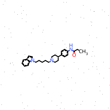 CCC(=O)Nc1ccc(C2CCN(CCCCCn3ccc4ccccc43)CC2)cc1